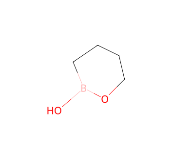 OB1CCCCO1